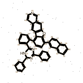 c1ccc(C2=NC(c3ccccc3)NC(c3ccccc3-c3ccc(-c4ccc5ccccc5c4)c4oc5cc6cnccc6cc5c34)=N2)cc1